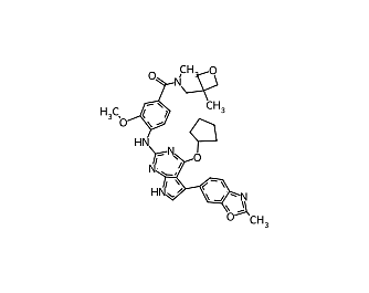 COc1cc(C(=O)N(C)CC2(C)COC2)ccc1Nc1nc(OC2CCCC2)c2c(-c3ccc4nc(C)oc4c3)c[nH]c2n1